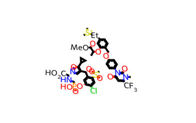 CCc1ccc(COc2ccc(-n3c(=O)cc(C(F)(F)F)n(C)c3=O)cc2)c(OC(C)C(=O)OC)c1.CS(=O)(=O)c1cc(Cl)ccc1C(=O)c1cnoc1C1CC1.C[S+](C)C.O=C(O)CNCP(=O)([O-])O